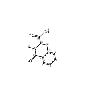 CN1C(=O)c2ccccc2CC1C(=O)O